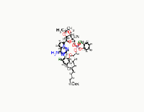 CCCCCCCCCCCCCCCCCC[C@@H](COP(=O)(OC[C@@]1(C#N)O[C@@H](c2ccc3c(N)ncnn23)[C@@H]2OC(C)(C)O[C@@H]21)Oc1ccccc1Cl)Oc1cc(F)cc(C#N)c1